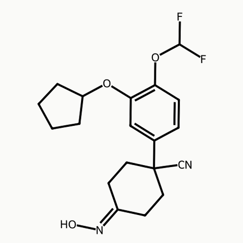 N#CC1(c2ccc(OC(F)F)c(OC3CCCC3)c2)CCC(=NO)CC1